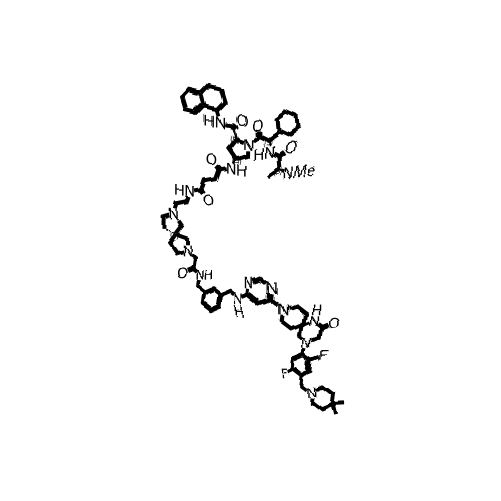 CN[C@@H](C)C(=O)N[C@H](C(=O)N1C[C@@H](NC(=O)CCC(=O)NCCN2CC[C@]3(CCN(CC(=O)NCc4cccc(CNc5cc(N6CCC7(CC6)CN(c6cc(F)c(CN8CCC(C)(C)CC8)cc6F)CC(=O)N7)ncn5)c4)C3)C2)C[C@H]1C(=O)NC1CCCc2ccccc21)C1CCCCC1